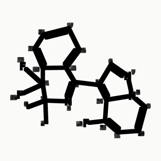 CC1(C)N=C(c2cnn3cccc(F)c23)c2ccccc2C1(F)F